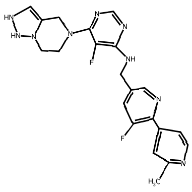 Cc1cc(-c2ncc(CNc3ncnc(N4CCN5NNC=C5C4)c3F)cc2F)ccn1